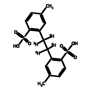 [2H]C([2H])(c1cc(C)ccc1S(=O)(=O)O)C([2H])([2H])c1cc(C)ccc1S(=O)(=O)O